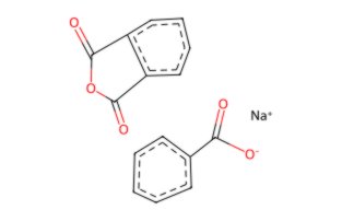 O=C([O-])c1ccccc1.O=C1OC(=O)c2ccccc21.[Na+]